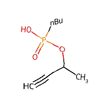 C#CC(C)OP(=O)(O)CCCC